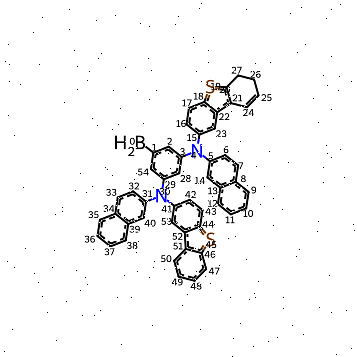 Bc1cc(N(c2ccc3ccccc3c2)c2ccc3sc4c(c3c2)C=CCC4)cc(N(c2ccc3ccccc3c2)c2ccc3sc4ccccc4c3c2)c1